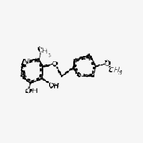 COc1ccc(COc2c(C)ncc(O)c2O)cc1